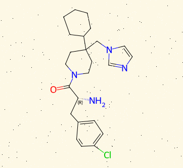 N[C@H](Cc1ccc(Cl)cc1)C(=O)N1CCC(Cn2ccnc2)(C2CCCCC2)CC1